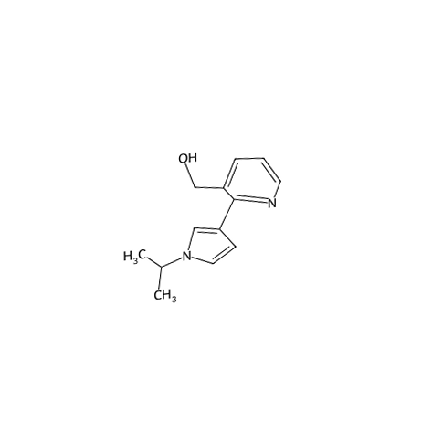 CC(C)n1ccc(-c2ncccc2CO)c1